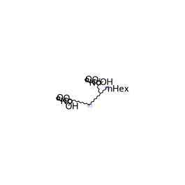 CCCCCC/C=C\CCCC(CCCCCC/C=C\CCCCCCCc1cc(O)c2c(c1)OCN(Cc1ccco1)C2)CCCc1cc(O)c(C)c2c1CN(Cc1ccco1)CO2